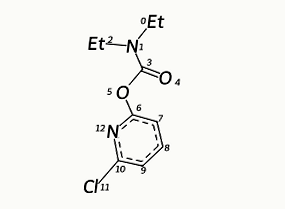 CCN(CC)C(=O)Oc1cccc(Cl)n1